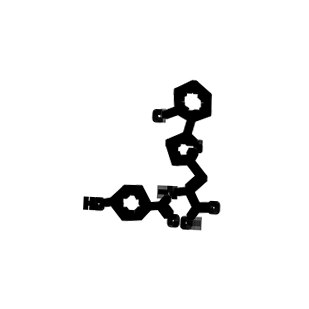 O=C(O)C(=Cc1ccc(-c2ccccc2Cl)s1)NC(=O)c1ccc(O)cc1